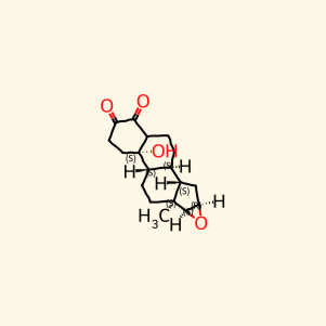 C[C@]12CC[C@H]3[C@@H](CCC4C(=O)C(=O)CC[C@@]43O)[C@@H]1C[C@H]1O[C@H]12